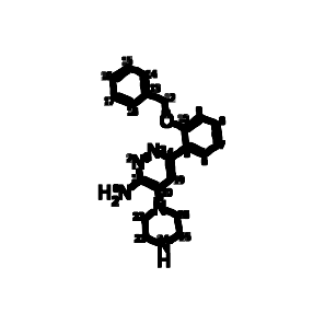 Nc1nnc(-c2ccccc2OCc2ccccc2)cc1N1CCNCC1